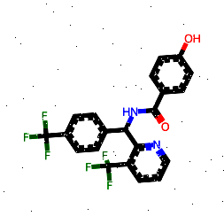 O=C(NC(c1ccc(C(F)(F)F)cc1)c1ncccc1C(F)(F)F)c1ccc(O)cc1